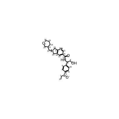 CC[S+]([O-])c1ccc(C(CO)NC(=O)c2cnc3c(c2)CN(CC2CCCOC2)C3)cc1